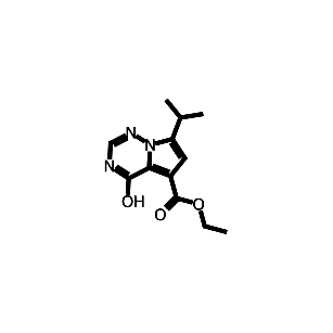 CCOC(=O)c1cc(C(C)C)n2ncnc(O)c12